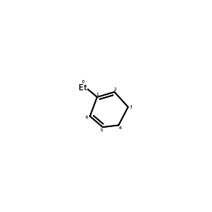 CCC1=CCCC=C1